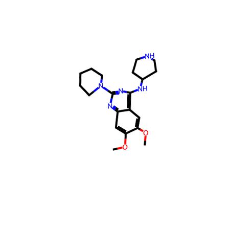 COc1cc2nc(N3CCCCC3)nc(NC3CCNCC3)c2cc1OC